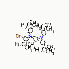 CC(C)(C)c1ccc(N(c2cc(Br)cc(C(C)(C)C)c2)c2ccc3c4cc(C(C)(C)C)ccc4n(-c4ccc(C(C)(C)C)cc4)c3c2)cc1